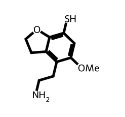 COc1cc(S)c2c(c1CCN)CCO2